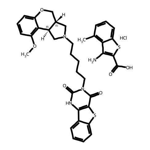 COc1cccc2c1[C@@H]1CN(CCCCCn3c(=O)[nH]c4c(sc5ccccc54)c3=O)C[C@H]1CO2.Cc1cccc2sc(C(=O)O)c(N)c12.Cl